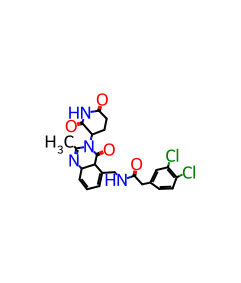 CC1=NC2C=CC=C(CNC(=O)Cc3ccc(Cl)c(Cl)c3)C2C(=O)N1C1CCC(=O)NC1=O